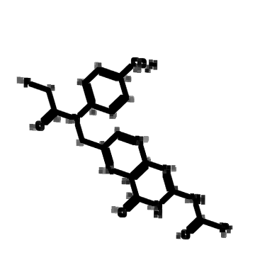 CC(C)C(=O)Nc1nc2ncc(CN(C(=O)CF)c3ccc(C(=O)O)cc3)nc2c(=O)[nH]1